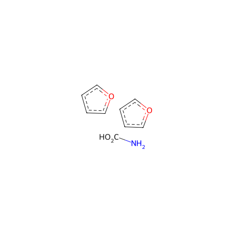 NC(=O)O.c1ccoc1.c1ccoc1